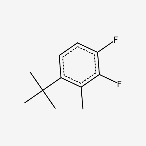 Cc1c(C(C)(C)C)ccc(F)c1F